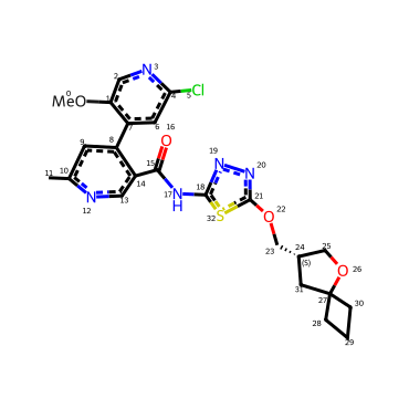 COc1cnc(Cl)cc1-c1cc(C)ncc1C(=O)Nc1nnc(OC[C@@H]2COC3(CCC3)C2)s1